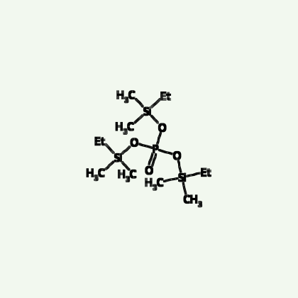 CC[Si](C)(C)OP(=O)(O[Si](C)(C)CC)O[Si](C)(C)CC